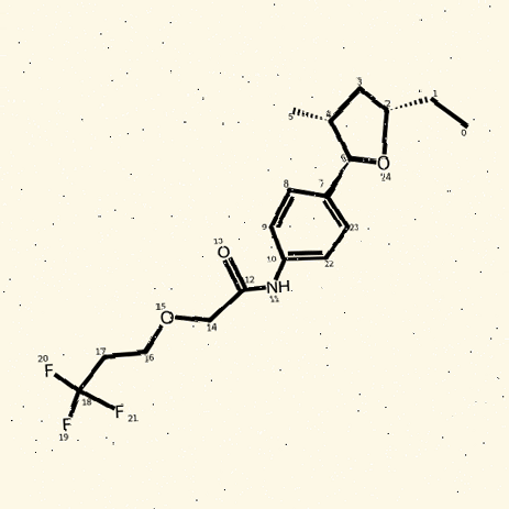 CC[C@H]1C[C@@H](C)[C@H](c2ccc(NC(=O)COCCC(F)(F)F)cc2)O1